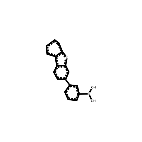 OB(O)c1cccc(-c2ccc3c(c2)oc2ccccc23)c1